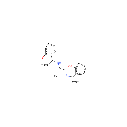 O=C([O-])C(NCCNC(C(=O)[O-])c1ccccc1[O-])c1ccccc1[O-].[Fe+5]